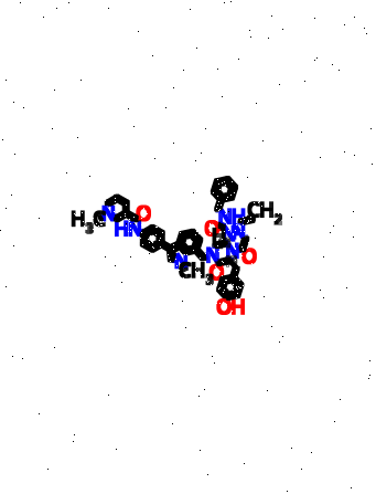 C=CCN1CC(=O)N2[C@@H](Cc3ccc(O)cc3)C(=O)N(Cc3cccc4c(-c5ccc(NC(=O)C6CCCN(C)C6)cc5)cn(C)c34)C[C@@H]2N1C(=O)NCc1ccccc1